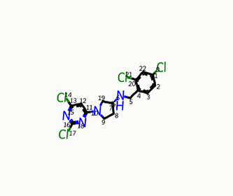 Clc1ccc(CN[C@H]2CCN(c3cc(Cl)nc(Cl)n3)C2)c(Cl)c1